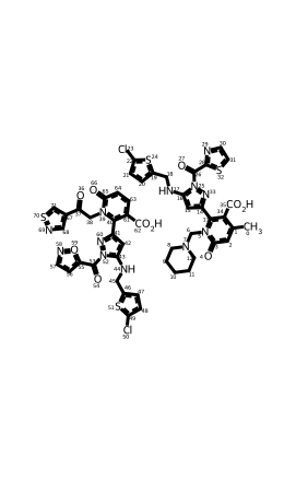 Cc1cc(=O)n(CN2CCCCC2)c(-c2cc(NCc3ccc(Cl)s3)n(C(=O)c3nccs3)n2)c1C(=O)O.O=C(Cn1c(-c2cc(NCc3ccc(Cl)s3)n(C(=O)c3ccno3)n2)c(C(=O)O)ccc1=O)c1cnsc1